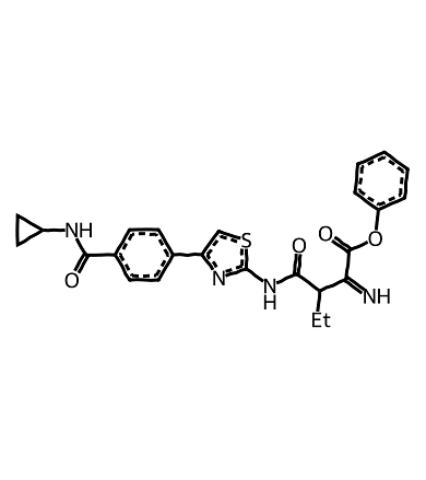 CCC(C(=N)C(=O)Oc1ccccc1)C(=O)Nc1nc(-c2ccc(C(=O)NC3CC3)cc2)cs1